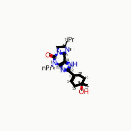 CCCN1C(=O)N2C[C@@H](C(C)C)N=C2c2[nH]c(C3=CCC(C)(O)CC3)nc21